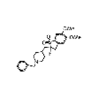 COc1cc2c(cc1OC)S(=O)(=O)C(F)(CC1CCN(Cc3ccccc3)CC1)C2